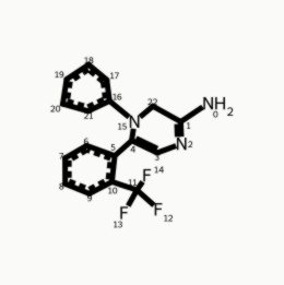 NC1=NC=C(c2ccccc2C(F)(F)F)N(c2ccccc2)C1